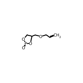 C=CCOCC1CO[P](=O)O1